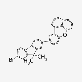 CC1(C)c2cc(Br)ccc2-c2ccc(-c3ccc4c(c3)-c3cccc5cccc(c35)O4)cc21